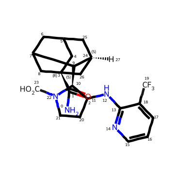 NC(=O)[C@]12CC3CC(C1)C([C@H]1C(Nc4ncccc4C(F)(F)F)CCN1C(=O)O)[C@@H](C3)C2